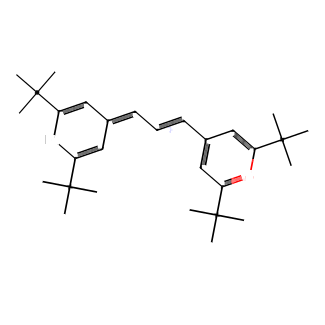 CC(C)(C)C1=CC(=C/C=C/c2cc(C(C)(C)C)[o+]c(C(C)(C)C)c2)C=C(C(C)(C)C)[Te]1.[Cl-]